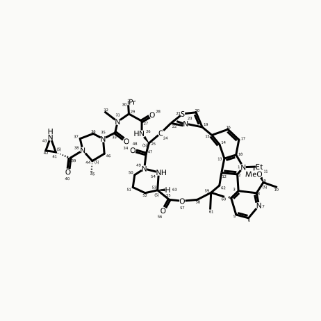 CCn1c(-c2cccnc2[C@H](C)OC)c2c3cc(ccc31)-c1csc(n1)C[C@H](NC(=O)C(C(C)C)N(C)C(=O)N1CCN(C(=O)[C@@H]3CN3)[C@@H](C)C1)C(=O)N1CCC[C@H](N1)C(=O)OCC(C)(C)C2